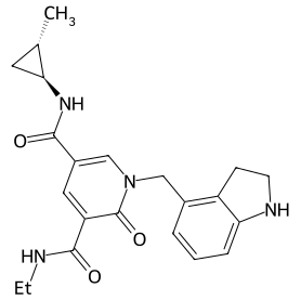 CCNC(=O)c1cc(C(=O)N[C@H]2C[C@@H]2C)cn(Cc2cccc3c2CCN3)c1=O